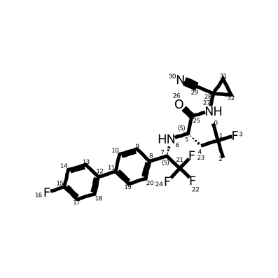 CC(C)(F)C[C@H](N[C@@H](c1ccc(-c2ccc(F)cc2)cc1)C(F)(F)F)C(=O)NC1(C#N)CC1